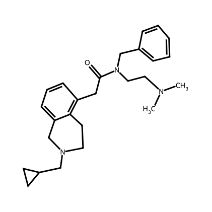 CN(C)CCN(Cc1ccccc1)C(=O)Cc1cccc2c1CCN(CC1CC1)C2